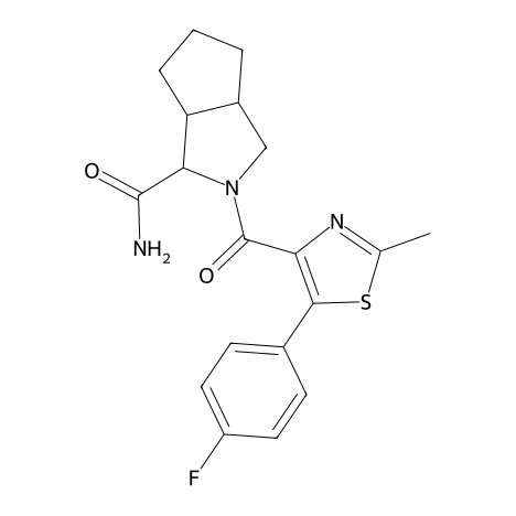 Cc1nc(C(=O)N2CC3CCCC3C2C(N)=O)c(-c2ccc(F)cc2)s1